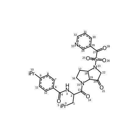 CC(C)CC(NC(=O)c1ccc(C(C)C)cc1)C(=O)N1CCC2C1C(=O)CN2S(=O)(=O)C(=O)c1cccnc1